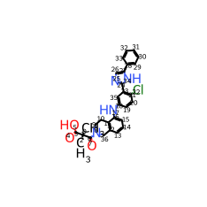 CC(C)(C(=O)O)C(=O)N1CCc2c(cccc2Nc2ccc(Cl)c(-c3ncc(-c4ccccc4)[nH]3)c2)C1